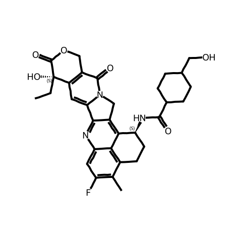 CC[C@@]1(O)C(=O)OCc2c1cc1n(c2=O)Cc2c-1nc1cc(F)c(C)c3c1c2[C@@H](NC(=O)C1CCC(CO)CC1)CC3